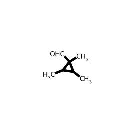 CC1C(C)C1(C)[C]=O